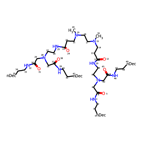 CCCCCCCCCCCCNC(=O)CN(CCNC(=O)CCN(C)CCN(C)CCC(=O)NCCN(CC(=O)NCCCCCCCCCCCC)CC(=O)NCCCCCCCCCCCC)CC(=O)NCCCCCCCCCCCC